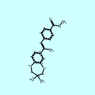 COC(=O)c1ccc(C=C(C)c2ccc3c(c2)SCC(C)(C)CS3)cc1